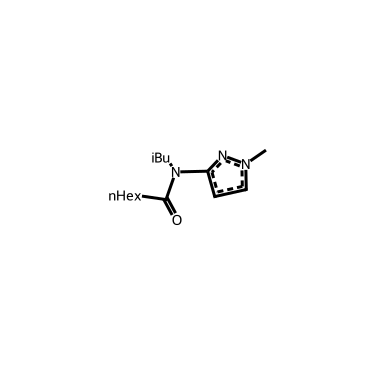 CCCCCCC(=O)N(c1ccn(C)n1)C(C)CC